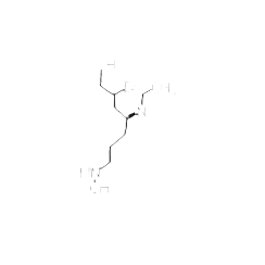 CC/N=C(/CCCNC)CC(Br)CC